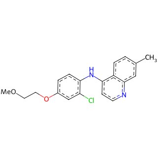 COCCOc1ccc(Nc2ccnc3cc(C)ccc23)c(Cl)c1